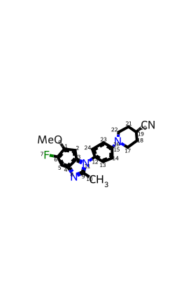 COc1cc2c(cc1F)nc(C)n2-c1ccc(N2CCC(C#N)CC2)cc1